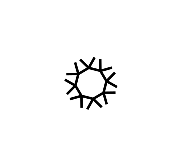 CC1(C)C(C)(C)C(C)(C)C(C)(C)C(C)(C)C(C)(C)C(C)(C)C1(C)C